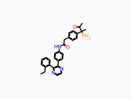 CCc1ccccc1-c1nccnc1-c1ccc(NC(=O)Cc2ccc(C(C)(P)C(C)=O)cc2)cc1